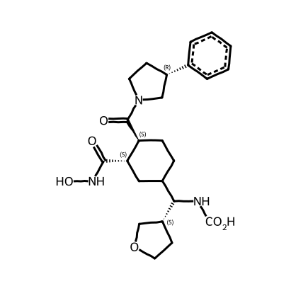 O=C(O)NC(C1CC[C@H](C(=O)N2CC[C@H](c3ccccc3)C2)[C@@H](C(=O)NO)C1)[C@@H]1CCOC1